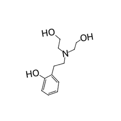 OCCN(CCO)CCc1ccccc1O